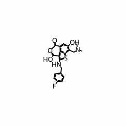 CC(=O)c1cc(O)c(CN(C)C)c2sc(NCc3ccc(F)cc3)c(C(=O)O)c12